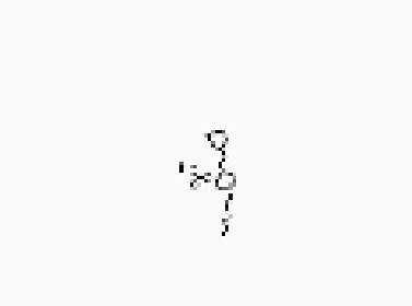 CCCCCCC1CCC(CCC2CCCCC2)CC1.O=C(O)O